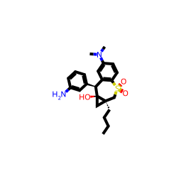 CCCC[C@]12C[C@]1(O)[C@@H](c1cccc(N)c1)c1cc(N(C)C)ccc1S(=O)(=O)C2